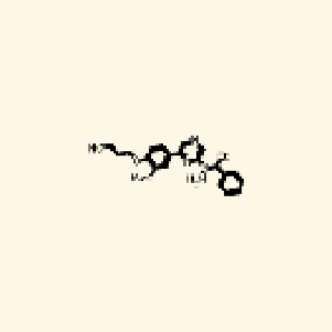 CCC(c1ccccc1)N(N)c1cncc(-c2ccc(OCCCO)c(OC)c2)n1